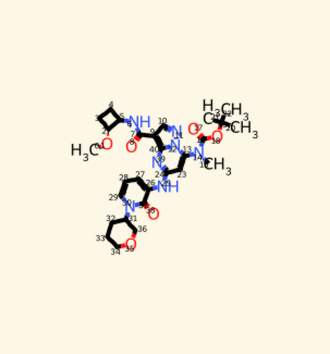 CO[C@@H]1CCC1NC(=O)c1cnn2c(N(C)C(=O)OC(C)(C)C)cc(Nc3cccn(C4CCCOC4)c3=O)nc12